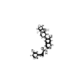 C[C@]1(N2CCC(c3cc4cc(NC(=O)C5CC5c5cc(F)ccn5)ncc4cc3Cl)CC2)COC[C@H]1O